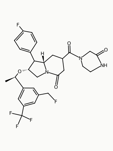 C[C@@H](O[C@H]1CN2C(=O)CC(C(=O)N3CCNC(=O)C3)C[C@H]2C1c1ccc(F)cc1)c1cc(CF)cc(C(F)(F)F)c1